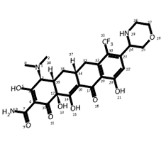 CN(C)[C@@H]1C(O)=C(C(N)=O)C(=O)[C@@]2(O)C(O)=C3C(=O)c4c(O)cc(C5COCCN5)c(C(F)(F)F)c4C[C@H]3C[C@@H]12